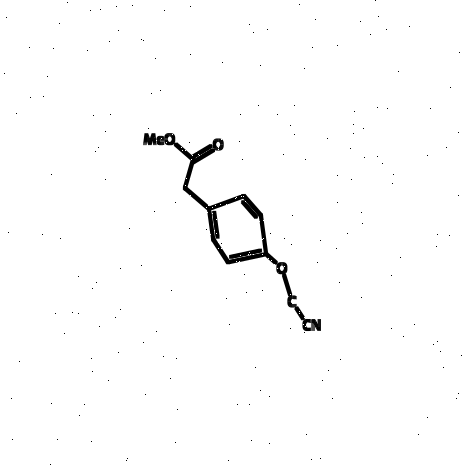 COC(=O)Cc1ccc(OCC#N)cc1